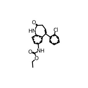 CCOC(=O)Nc1ccc2c(c1)C(c1ccccc1Cl)=CCC(=O)N2